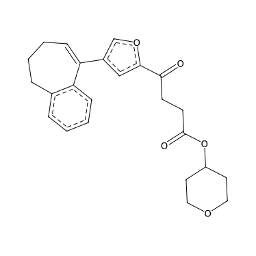 O=C(CCC(=O)c1cc(C2=CCCCc3ccccc32)co1)OC1CCOCC1